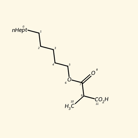 CCCCCCCCCCCCOC(=O)C(C)C(=O)O